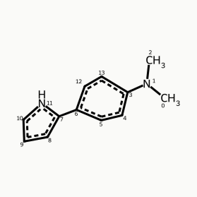 CN(C)c1ccc(-c2ccc[nH]2)cc1